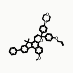 C=CCOc1ccc(C2(c3ccc(N4CCOCC4)cc3)C=Cc3c4c(c5cc(OC)ccc5c3O2)-c2ccc(-c3ccccc3)cc2C4(C)C)cc1